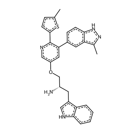 Cc1ccc(-c2ncc(OC[C@@H](N)Cc3c[nH]c4ccccc34)cc2-c2ccc3[nH]nc(C)c3c2)s1